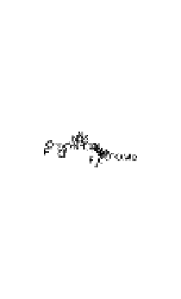 COCCNC[C@H](Cn1cc2c(n1)CCc1c-2sc2ncnc(Nc3ccc(OCc4cccc(F)c4)c(Cl)c3)c12)OC(=O)C(F)(F)F